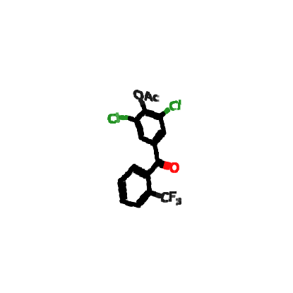 CC(=O)Oc1c(Cl)cc(C(=O)c2ccccc2C(F)(F)F)cc1Cl